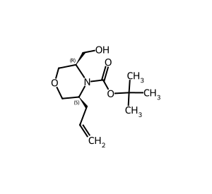 C=CC[C@H]1COC[C@@H](CO)N1C(=O)OC(C)(C)C